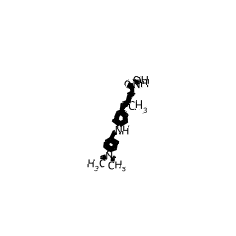 CCN(CC)c1ccc(CNc2ccc(/C=C(C)/C=C/C(=O)NO)cc2)cc1